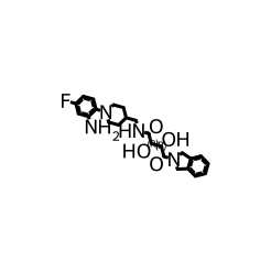 Nc1cc(F)ccc1N1CCC(CNC(=O)[C@H](O)[C@@H](O)C(=O)N2Cc3ccccc3C2)CC1